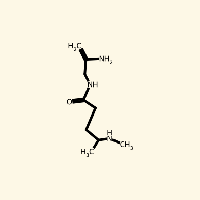 C=C(N)CNC(=O)CCC(C)NC